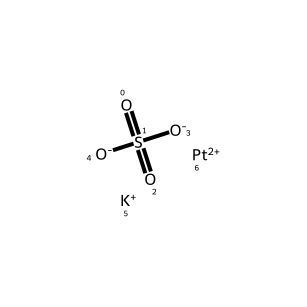 O=S(=O)([O-])[O-].[K+].[Pt+2]